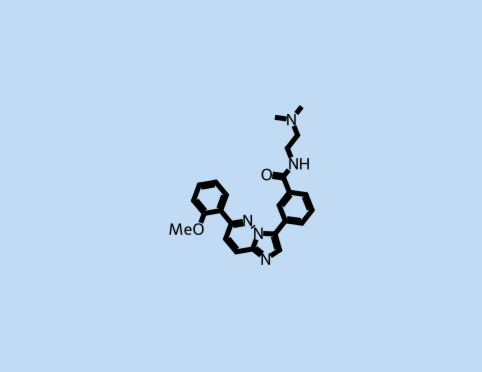 COc1ccccc1-c1ccc2ncc(-c3cccc(C(=O)NCCN(C)C)c3)n2n1